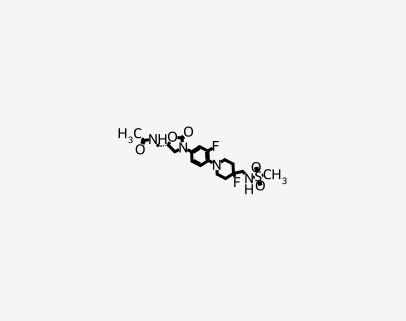 CC(=O)NC[C@H]1CN(c2ccc(N3CCC(F)(CNS(C)(=O)=O)CC3)c(F)c2)C(=O)O1